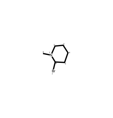 CN1C[CH]CCC1Br